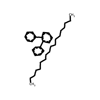 CCCCCCCCCCCCCCCCCC.c1ccc(-c2ccccc2-c2ccccc2)cc1